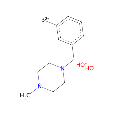 [B+2]c1cccc(CN2CCN(C)CC2)c1.[OH-].[OH-]